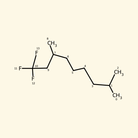 CC(C)CCCCC(C)CC(F)(F)F